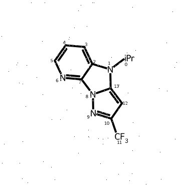 CC(C)n1c2cccnc2n2nc(C(F)(F)F)cc12